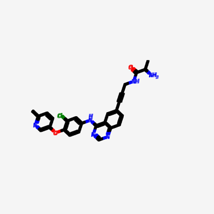 Cc1ccc(Oc2ccc(Nc3ncnc4ccc(C#CCNC(=O)C(C)N)cc34)cc2Cl)cn1